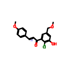 COCc1cc(O)c(Cl)c(C(=O)/C=C/c2ccc(OC)cc2)c1